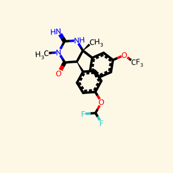 CN1C(=N)N[C@](C)(c2cccc(OC(F)(F)F)c2)[C@@H](c2ccc(OC(F)F)cc2)C1=O